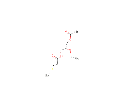 CCCC(=O)OCC(COC(=O)CCSC(C)(C)C)OCC(C)(C)C